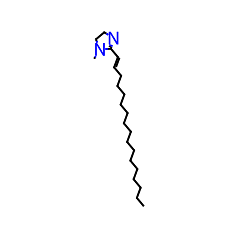 CCCCCCCCCCCCCCC/C=C/C1=NCCN1C